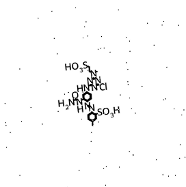 Cc1ccc(/N=N/c2ccc(Nc3nc(Cl)nc(N(C)CCS(=O)(=O)O)n3)cc2NC(N)=O)c(S(=O)(=O)O)c1